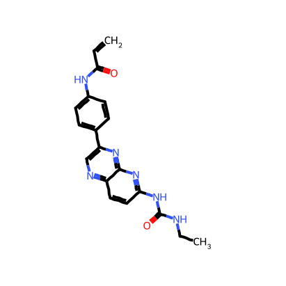 C=CC(=O)Nc1ccc(-c2cnc3ccc(NC(=O)NCC)nc3n2)cc1